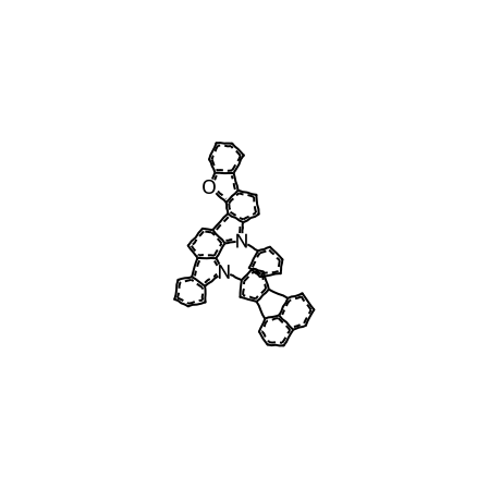 c1ccc(-n2c3ccc4c5ccccc5oc4c3c3ccc4c5ccccc5n(-c5ccc6c(c5)-c5cccc7cccc-6c57)c4c32)cc1